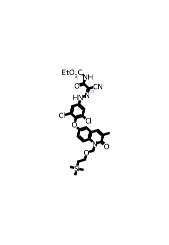 CCOC(=O)NC(=O)/C(C#N)=N\Nc1cc(Cl)c(Oc2ccc3c(c2)cc(C)c(=O)n3COCC[Si](C)(C)C)c(Cl)c1